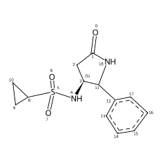 O=C1C[C@H](NS(=O)(=O)C2CC2)C(c2ccccc2)N1